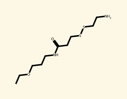 CCOCCCNC(=O)CCSSCCN